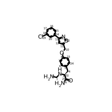 NCN[C@@H](Cc1ccc(OCc2cc(-c3cccc(Cl)c3)no2)cc1)C(N)=O